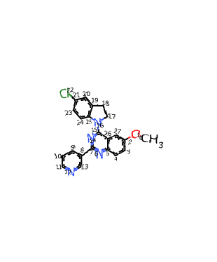 COc1ccc2nc(-c3cccnc3)nc(N3CCc4cc(Cl)ccc43)c2c1